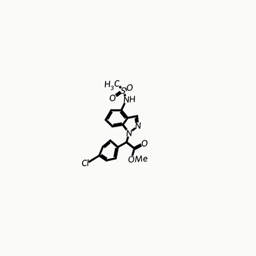 COC(=O)C(c1ccc(Cl)cc1)n1ncc2c(NS(C)(=O)=O)cccc21